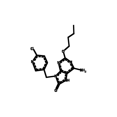 CCCCOc1nc(N)c2[nH]c(=O)n(Cc3ccc(Cl)nc3)c2n1